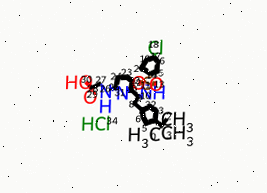 CC(C)(C)c1ccc(CC(NS(=O)(=O)c2ccc(Cl)cc2)c2cccc(NCC(=O)O)n2)cc1.Cl